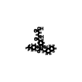 CC(C)(C)c1ccc(NC(=O)[C@H](Cc2ccc3ccccc3c2)Nc2ccc(C(=O)NCCC(=O)O)cc2)cc1